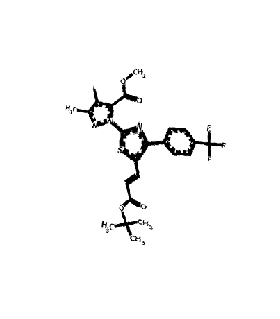 COC(=O)c1c(I)c(C)nn1-c1nc(-c2ccc(C(F)(F)F)cc2)c(/C=C/C(=O)OC(C)(C)C)s1